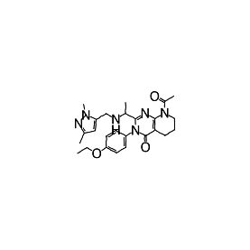 CCOc1ccc(-n2c(C(C)NCc3cc(C)nn3C)nc3c(c2=O)CCCN3C(C)=O)cc1